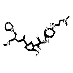 C=N/C=C(\C=C(/C)c1ccc2[nH]nc(C(=O)Nc3ccc(NCCN(C)C)nc3)c2c1)CN1CCCCC1